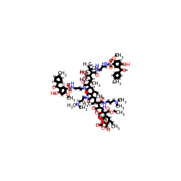 CCOC(=O)C(C(CC)CC(C(=O)O)C(C(=O)NCCCN(C)C)C(CC)CC1C(=O)N(CCCN(C)C)C(=O)C1C(CC)CC1C(=O)N(CCCNS(=O)(=O)c2cc(C(=O)c3ccc(C)cc3)c(O)cc2OC)C(=O)C1C(C)(C)CC(C(=O)O)C(C(=O)NCCCNS(=O)(=O)c1cc(C(=O)c2ccc(C)cc2)c(O)cc1OC)C(C)(C)CC)C(CC(CC)C1C(=O)OC(=O)C1C)C(=O)O